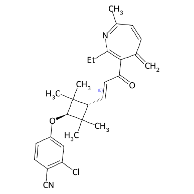 C=C1C=CC(C)=NC(CC)=C1C(=O)/C=C/[C@H]1C(C)(C)[C@H](Oc2ccc(C#N)c(Cl)c2)C1(C)C